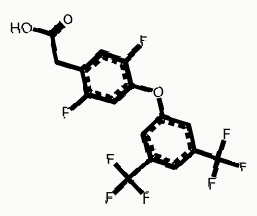 O=C(O)Cc1cc(F)c(Oc2cc(C(F)(F)F)cc(C(F)(F)F)c2)cc1F